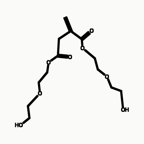 C=C(CC(=O)OCCOCCO)C(=O)OCCOCCO